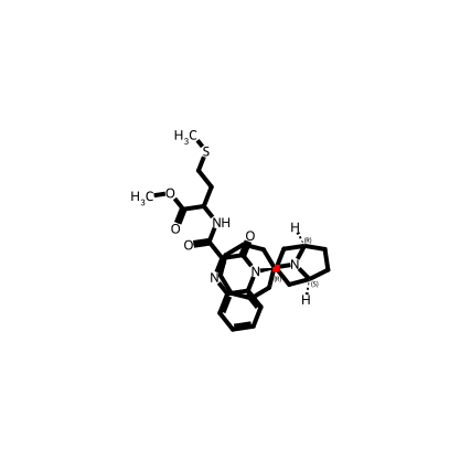 COC(=O)C(CCSC)NC(=O)c1nc2ccccc2n([C@H]2C[C@H]3CC[C@@H](C2)N3C2CCCCCCC2)c1=O